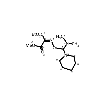 CCOC(=O)C(=NOC(N(C)C)N1CCCCC1)C(=O)OC